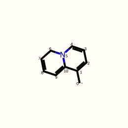 [CH2]C1=CC=CN2CC=CC=C12